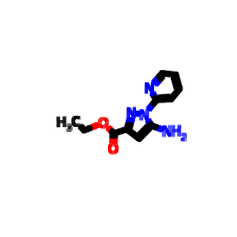 CCOC(=O)c1cc(N)n(-c2ccccn2)n1